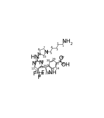 NCCCCCN1CC[C@H](Nc2ncc(C(F)(F)F)c(-c3c[nH]c4cc(C(=O)O)ccc34)n2)C1